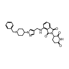 O=C1CCC(N2C(=O)c3cccc(NCc4cnn(C5CCN(Cc6ccccc6)CC5)c4)c3C2=O)C(=O)N1